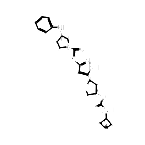 O=C(NC12CC(C1)C2)O[C@H]1CO[C@@H](c2cc(NC(=O)N3CC[C@@H](Nc4ccccc4)C3)n[nH]2)C1